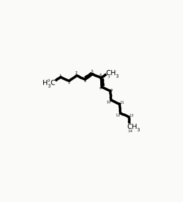 CCCCC=CC(C)=CCCCCCC